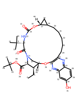 CC[C@@H]1[C@@H]2CN(C(=O)[C@H](C(C)(C)C)NC(=O)O[C@@H]3CC3CCCCCc3nc4ccc(O)cc4nc3O2)[C@@H]1C(=O)OC(C)(C)C